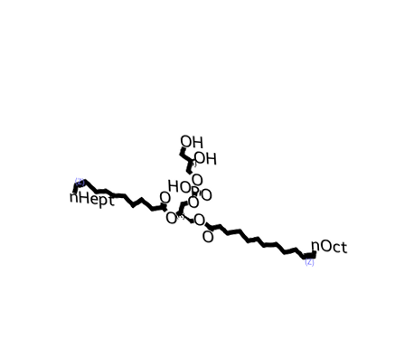 CCCCCCC/C=C\CCCCCCCC(=O)O[C@H](COC(=O)CCCCCCCCC/C=C\CCCCCCCC)COP(=O)(O)OC[C@@H](O)CO